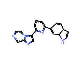 C1=CC2C=CC(c3cccc(-c4cnc5cnccn45)n3)=CC2N1